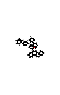 c1ccc(-c2ccccc2N(c2ccc(-c3cc4c5ccccc5ccc4c4ccccc34)cc2)c2ccc3c(c2)oc2ccccc23)cc1